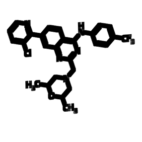 CC1CN(Cc2nc(Nc3ccc(C(F)(F)F)cc3)c3ccc(-c4ncccc4Cl)cc3n2)CC(C)O1